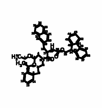 CCOC(CN(CCCc1ccccc1)C(=O)C(Cc1ccc2ccccc2c1)NC(=O)OCC1c2ccccc2-c2ccccc21)OCC